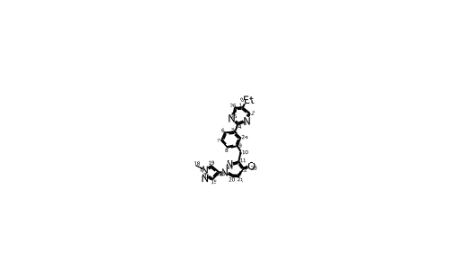 CCc1cnc(-c2cccc(Cc3nn(-c4cnn(C)c4)ccc3=O)c2)nc1